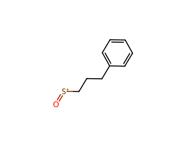 O=[S+]CCCc1ccccc1